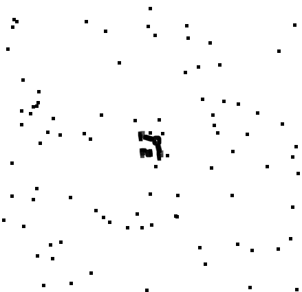 FOF.[Pu]